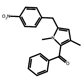 Cc1cc(Cc2ccc([N+](=O)[O-])cc2)n(C)c1C(=O)c1ccccc1